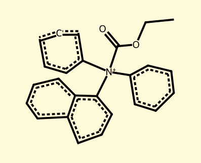 CCOC(=O)[N+](c1ccccc1)(c1ccccc1)c1cccc2ccccc12